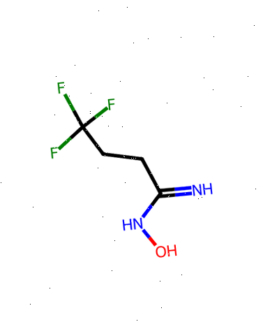 N=C(CCC(F)(F)F)NO